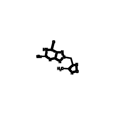 Cc1nonc1Cn1nc2nc(C(C)(C)C)[nH]c(=O)c2n1